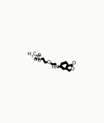 CS(=O)(=O)OCCOCCNc1ccc2c(c1)COC2=O